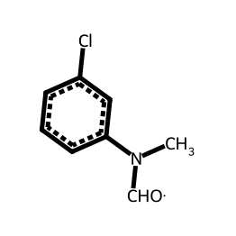 CN([C]=O)c1cccc(Cl)c1